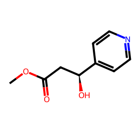 COC(=O)C[C@H](O)c1ccncc1